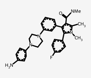 CNC(=O)c1c(-c2cccc(N3CCN(c4ccc(N)cc4)CC3)c2)c(-c2ccc(F)cc2)n(C)c1C